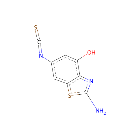 Nc1nc2c(O)cc(N=C=S)cc2s1